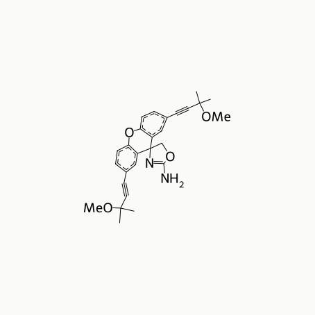 COC(C)(C)C#Cc1ccc2c(c1)C1(COC(N)=N1)c1cc(C#CC(C)(C)OC)ccc1O2